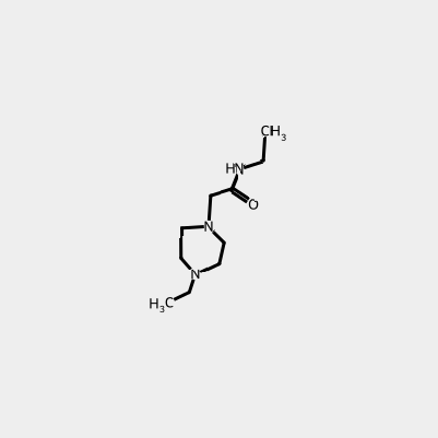 CCNC(=O)CN1CCN(CC)CC1